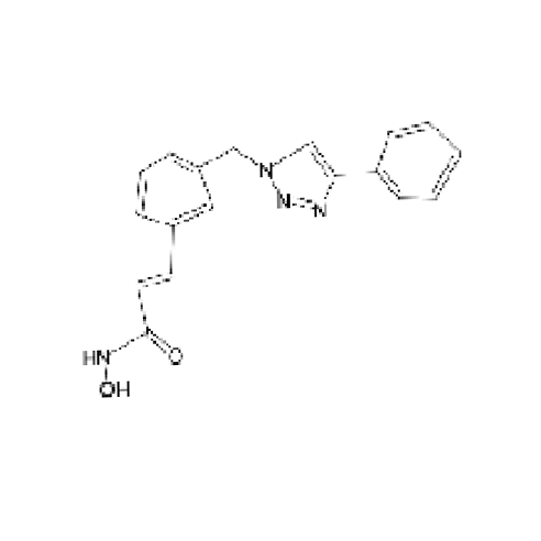 O=C(C=Cc1cccc(Cn2cc(-c3ccccc3)nn2)c1)NO